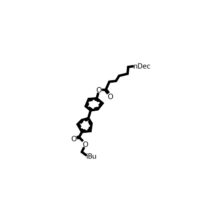 CCCCCCCCCCCCCCCC(=O)Oc1ccc(-c2ccc(C(=O)OCC(C)CC)cc2)cc1